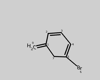 C=C1C=CC=C(Br)C1